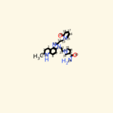 C[C@H]1CCc2c(ccc3c2nc(CCn2ccccc2=O)n3CCN2CC[C@H](C(N)=O)C2)N1